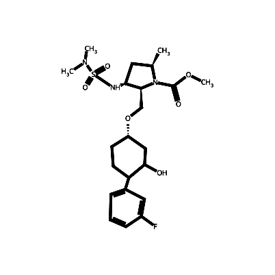 COC(=O)N1[C@H](C)C[C@H](NS(=O)(=O)N(C)C)[C@@H]1CO[C@H]1CCC(c2cccc(F)c2)C(O)C1